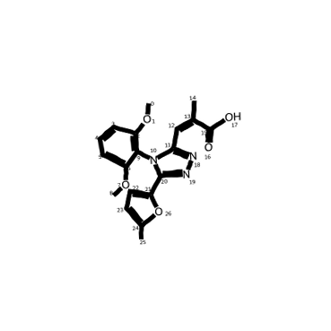 COc1cccc(OC)c1-n1c(/C=C(/C)C(=O)O)nnc1-c1ccc(C)o1